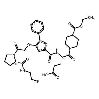 CCOC(=O)N1CCN(C(=O)[C@H](CCC(=O)O)NC(=O)c2cc(OCC(=O)N3CCC[C@H]3C(=O)NCCF)n(-c3ccccc3)n2)CC1